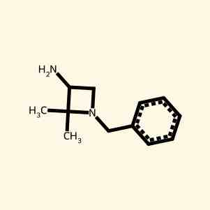 CC1(C)C(N)CN1Cc1ccccc1